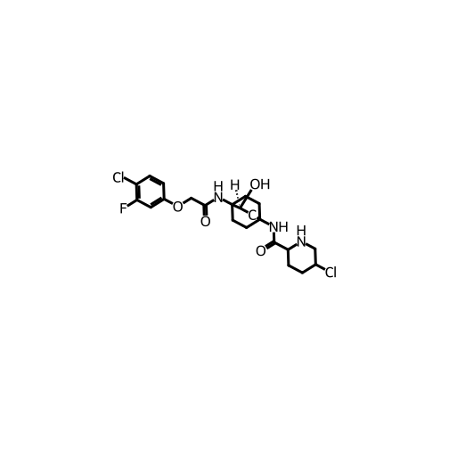 O=C(COc1ccc(Cl)c(F)c1)NC12CCC(NC(=O)C3CCC(Cl)CN3)(CC1)C[C@@H]2O